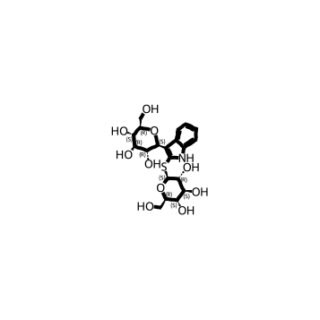 OC[C@H]1O[C@@H](Sc2[nH]c3ccccc3c2[C@@H]2O[C@H](CO)[C@@H](O)[C@H](O)[C@H]2O)[C@H](O)[C@@H](O)[C@@H]1O